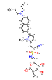 CCCN(CCC)c1ccc2cc(-c3ccc(/C=C(\C#N)S(=O)(=O)NC[C@H]4OC(O)[C@H](C)[C@@H](O)[C@@H]4O)n3C)ccc2c1